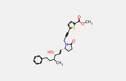 COC(=O)c1ccc(C#CCN2C(=O)CC[C@@H]2/C=C/[C@@H](O)[C@@H](C)CCc2ccccc2)s1